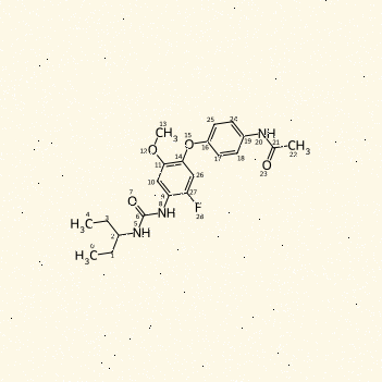 CCC(CC)NC(=O)Nc1cc(OC)c(Oc2ccc(NC(C)=O)cc2)cc1F